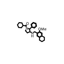 COc1cc2c(cc1CNC1CCN(C(=O)C3CCCCC3)C1c1ccccc1)CCCC2